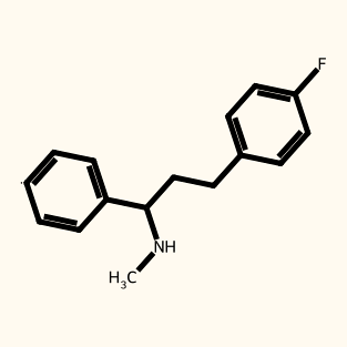 CNC(CCc1ccc(F)cc1)c1cc[c]cc1